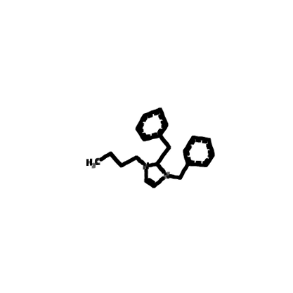 CCCCN1C=CN(Cc2ccccc2)C1Cc1ccccc1